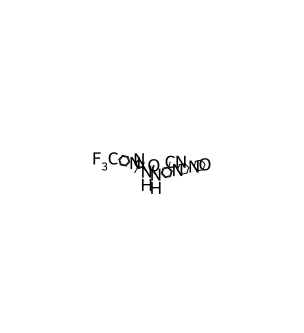 Cc1c(NC(=O)Nc2ccc(N3CCC(N4CCOCC4)CC3)c(C#N)c2)cnn1-c1ccc(C(F)(F)F)cc1